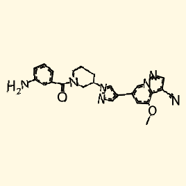 COc1cc(-c2cnn(C3CCCN(C(=O)c4cccc(N)c4)C3)c2)cn2ncc(C#N)c12